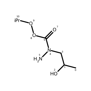 CC(O)CN(N)C(=O)OOC(C)C